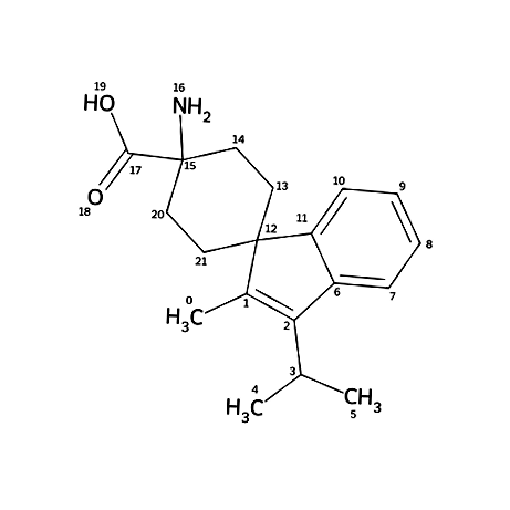 CC1=C(C(C)C)c2ccccc2C12CCC(N)(C(=O)O)CC2